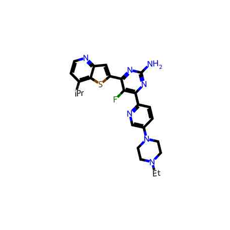 CCN1CCN(c2ccc(-c3nc(N)nc(-c4cc5nccc(C(C)C)c5s4)c3F)nc2)CC1